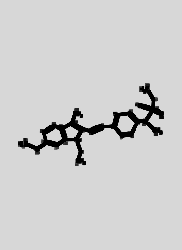 CCn1c(C#Cc2ccc(N(C)S(=O)(=O)CC)cc2)c(N)c2ccc(OC)cc21